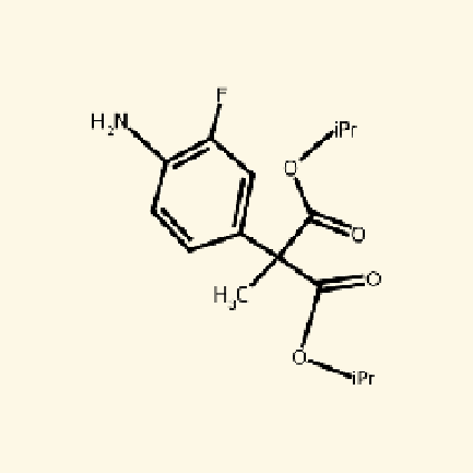 CC(C)OC(=O)C(C)(C(=O)OC(C)C)c1ccc(N)c(F)c1